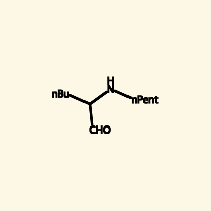 [CH2]CCCC(C=O)NCCCCC